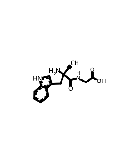 C#CC(N)(Cc1c[nH]c2ccccc12)C(=O)NCC(=O)O